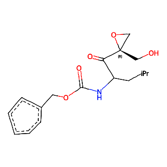 CC(C)CC(NC(=O)OCc1ccccc1)C(=O)[C@@]1(CO)CO1